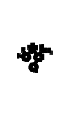 CNc1ncc(-c2cccnc2)cc1-c1nnnn1-c1cccc(F)c1F